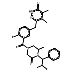 Cc1c(Cc2ccc(F)c(C(=O)N3CC(=O)N(C(c4ccccc4)C(F)F)C(C)C3)c2)n[nH]c(=O)c1C